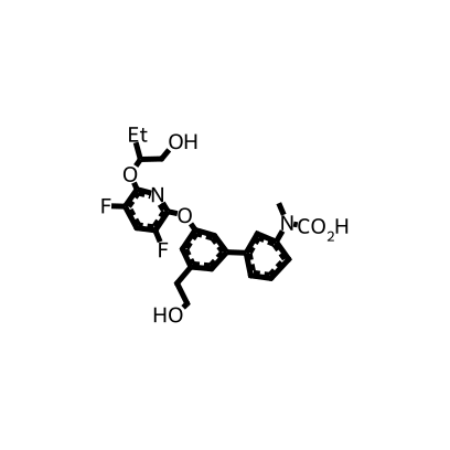 CCC(CO)Oc1nc(Oc2cc(CCO)cc(-c3cccc(N(C)C(=O)O)c3)c2)c(F)cc1F